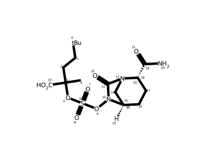 CC(C)(C)CCC(C)(OS(=O)(=O)ON1C(=O)N2C[C@H]1CC[C@H]2C(N)=O)C(=O)O